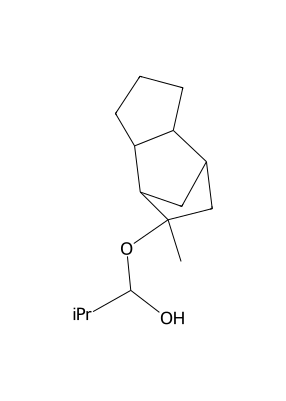 CC(C)C(O)OC1(C)CC2CC1C1CCCC21